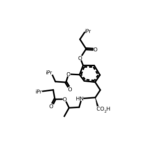 CC(C)CC(=O)Oc1ccc(C[C@H](NCC(C)OC(=O)CC(C)C)C(=O)O)cc1OC(=O)CC(C)C